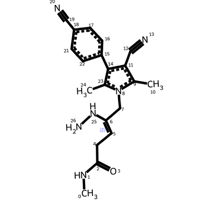 CNC(=O)C/C=C(/Cn1c(C)c(C#N)c(-c2ccc(C#N)cc2)c1C)NN